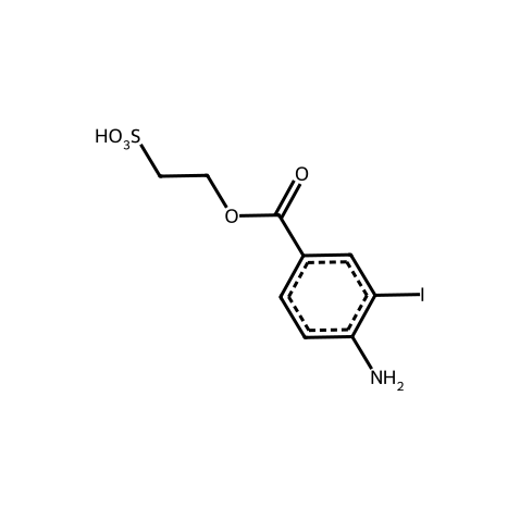 Nc1ccc(C(=O)OCCS(=O)(=O)O)cc1I